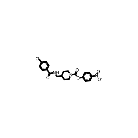 O=C(NCC1CCN(C(=O)Oc2ccc([N+](=O)[O-])cc2)CC1)c1ccc(Cl)cc1